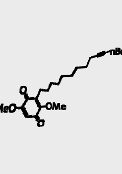 CCCCC#CCCCCCCCCCC1=C(OC)C(=O)C=C(OC)C1=O